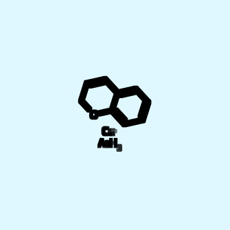 C1=Cc2ccccc2OC1.[AsH3].[Cu]